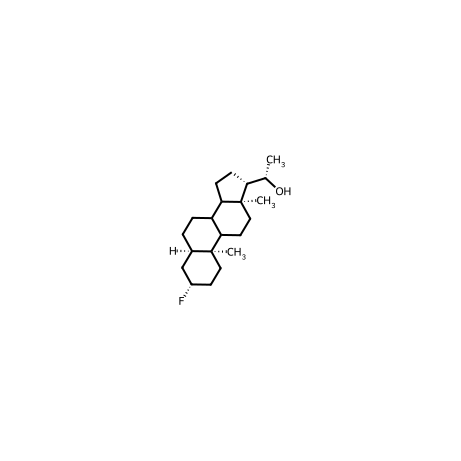 C[C@H](O)[C@H]1CCC2C3CC[C@@H]4C[C@@H](F)CC[C@]4(C)C3CC[C@@]21C